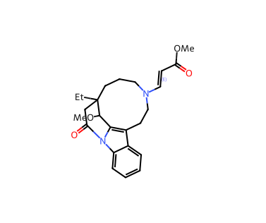 CCC12CCCN(/C=C/C(=O)OC)CCc3c(n(c4ccccc34)C(=O)C1)C2OC